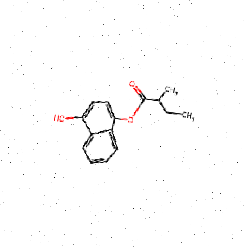 CCC(C)C(=O)Oc1ccc(O)c2ccccc12